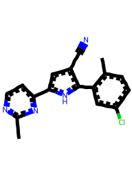 Cc1nccc(-c2cc(C#N)c(-c3cc(Cl)ccc3C)[nH]2)n1